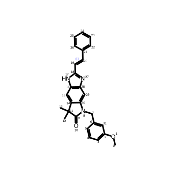 COc1cccc(CN2C(=O)C(C)(C)c3cc4[nH]c(/C=C/c5ccccc5)nc4cc32)c1